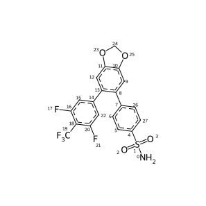 NS(=O)(=O)c1ccc(-c2cc3c(cc2-c2cc(F)c(C(F)(F)F)c(F)c2)OCO3)cc1